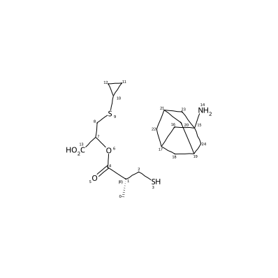 C[C@@H](CS)C(=O)OC(CSC1CC1)C(=O)O.NC12CC3CC(CC(C3)C1)C2